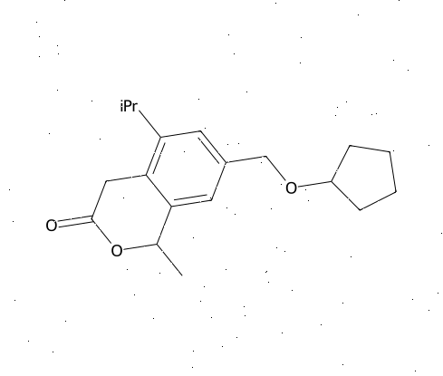 CC(C)c1cc(COC2CCCC2)cc2c1CC(=O)OC2C